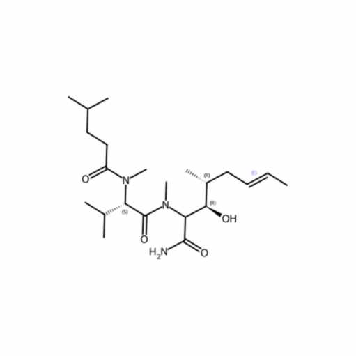 C/C=C/C[C@@H](C)[C@@H](O)C(C(N)=O)N(C)C(=O)[C@H](C(C)C)N(C)C(=O)CCC(C)C